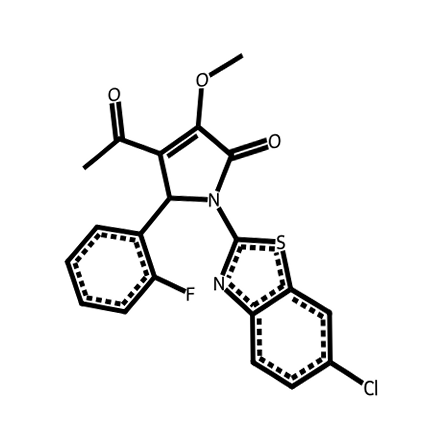 COC1=C(C(C)=O)C(c2ccccc2F)N(c2nc3ccc(Cl)cc3s2)C1=O